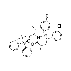 CCC(CO[Si](c1ccccc1)(c1ccccc1)C(C)(C)C)N1C(=O)C(C)CC(c2cccc(Cl)c2)[C@H]1c1ccc(Cl)cc1